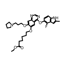 CCOC(=O)CCCCCOc1cc2c(Oc3ccc4[nH]c(C)cc4c3F)ncnc2cc1OCCCN1CCCC1